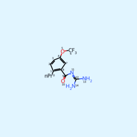 CCCc1ccc(OC(F)(F)F)cc1C(=O)N=C(N)N